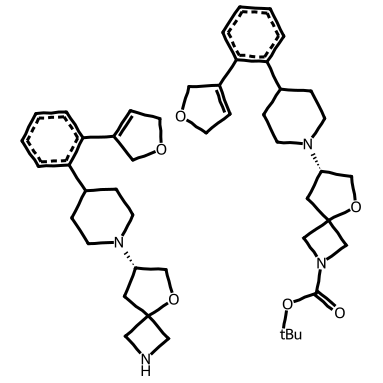 C1=C(c2ccccc2C2CCN([C@@H]3COC4(CNC4)C3)CC2)COC1.CC(C)(C)OC(=O)N1CC2(C[C@H](N3CCC(c4ccccc4C4=CCOC4)CC3)CO2)C1